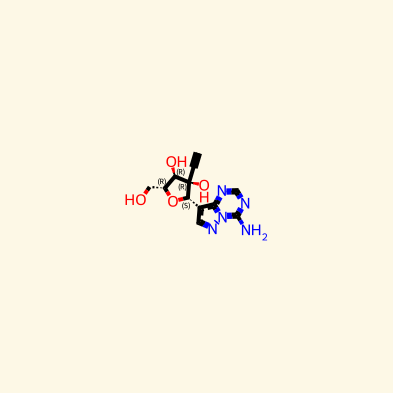 C#C[C@@]1(O)[C@H](O)[C@@H](CO)O[C@H]1c1cnn2c(N)ncnc12